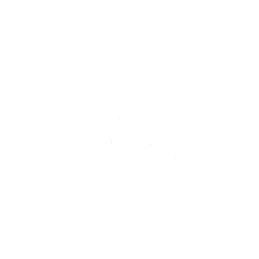 CC1(C)OC(=O)CC1=O